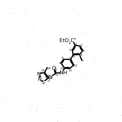 CCOC(=O)c1ccc(C)c(-c2ccc(NC(=O)Nc3snnc3C)cc2)c1